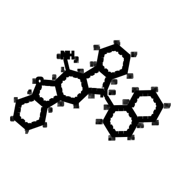 Nc1c2oc3ccccc3c2cc2c1c1ccccc1n2-c1cccc2ccccc12